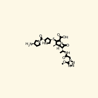 COc1nnnn1CC(=O)NC(C)[C@H]1C(=O)N2C(C(=O)O)=C(S[C@@H]3CN[C@H](C(=O)N4CC[C@@H](N)C4)C3)[C@H](C)[C@H]12